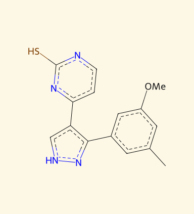 COc1cc(C)cc(-c2n[nH]cc2-c2ccnc(S)n2)c1